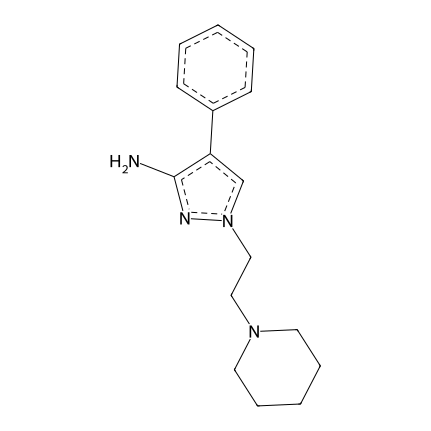 Nc1nn(CCN2CCCCC2)cc1-c1ccccc1